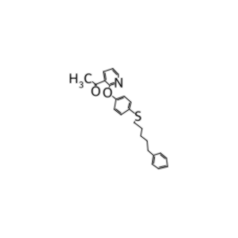 CC(=O)c1cccnc1Oc1ccc(SCCCCCc2ccccc2)cc1